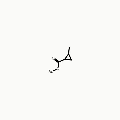 CC(=O)OC(=O)C1CC1C